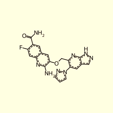 NC(=O)c1cc2cc(OCc3nc4[nH]ncc4cc3-n3cccn3)c(N)nc2cc1F